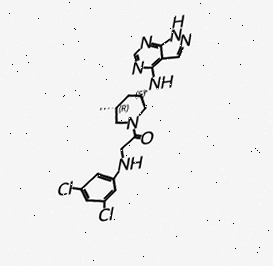 C[C@@H]1C[C@H](Nc2ncnc3[nH]ncc23)CN(C(=O)CNc2cc(Cl)cc(Cl)c2)C1